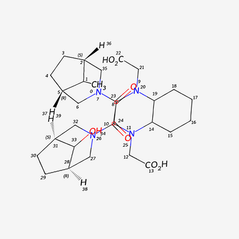 CC1[C@@H]2CC[C@H]1CN(C(=O)CN(CC(=O)O)C1CCCCC1N(CC(=O)O)CC(=O)N1C[C@H]3CC[C@@H](C1)C3O)C2